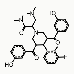 Cc1c(F)cccc1C1C(C(=O)c2cccc(O)c2)CN(C(CN(C)C)C(=O)N(C)C)CC1C(=O)c1cccc(O)c1